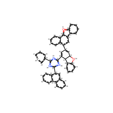 C1=C(c2cc3c4ccccc4oc3c3ccccc23)C=C(c2nc(-c3ccccc3)nc(-c3cc4ccccc4c4ccccc34)n2)C2c3ccccc3OC12